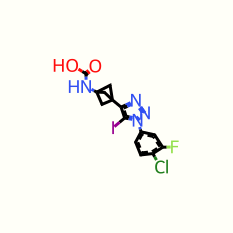 O=C(O)NC12CC(c3nnn(-c4ccc(Cl)c(F)c4)c3I)(C1)C2